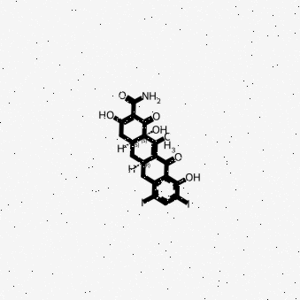 CC1=C2C(=O)c3c(O)c(I)cc(I)c3C[C@H]2C[C@H]2CC(O)=C(C(N)=O)C(=O)[C@@]12O